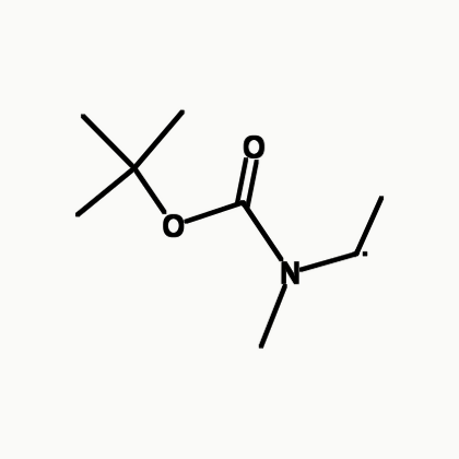 C[CH]N(C)C(=O)OC(C)(C)C